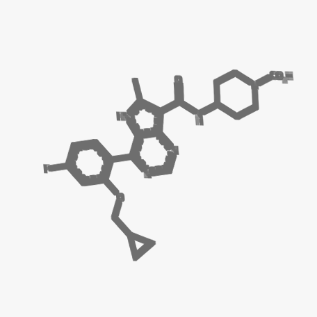 Cc1[nH]c2c(-c3ccc(F)cc3OCC3CC3)ncnc2c1C(=O)NC1CCN(C(=O)O)CC1